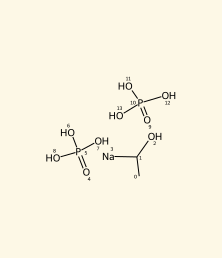 C[CH](O)[Na].O=P(O)(O)O.O=P(O)(O)O